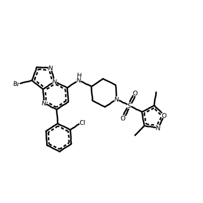 Cc1noc(C)c1S(=O)(=O)N1CCC(Nc2cc(-c3ccccc3Cl)nc3c(Br)cnn23)CC1